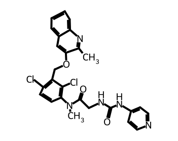 Cc1nc2ccccc2cc1OCc1c(Cl)ccc(N(C)C(=O)CNC(=O)Nc2ccncc2)c1Cl